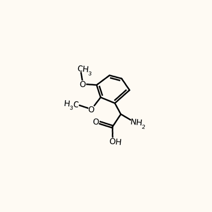 COc1cccc(C(N)C(=O)O)c1OC